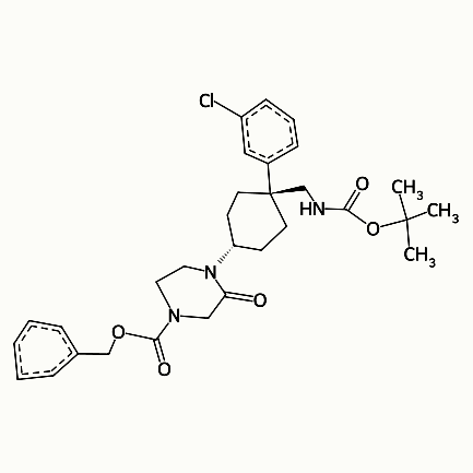 CC(C)(C)OC(=O)NC[C@]1(c2cccc(Cl)c2)CC[C@@H](N2CCN(C(=O)OCc3ccccc3)CC2=O)CC1